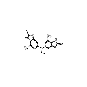 CCC(c1cc(N)c2[nH]c(=O)oc2c1)c1cc(N)c2[nH]c(=O)oc2c1